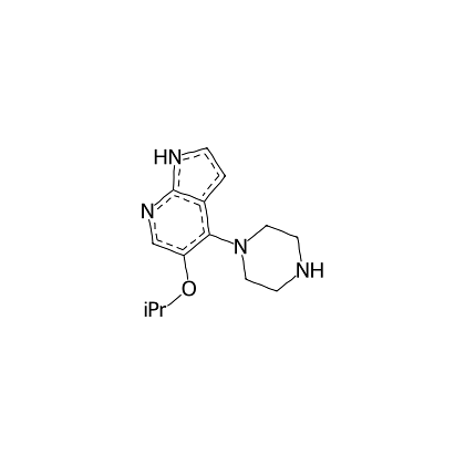 CC(C)Oc1cnc2[nH]ccc2c1N1CCNCC1